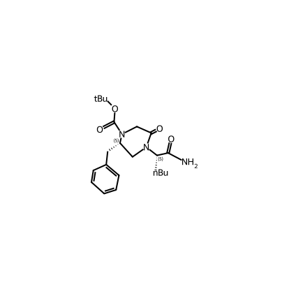 CCCC[C@@H](C(N)=O)N1C[C@H](Cc2ccccc2)N(C(=O)OC(C)(C)C)CC1=O